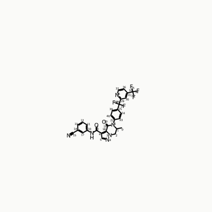 CC1Cn2ncc(C(=O)Nc3cccc(C#N)c3)c2C(=O)N1c1ccc(C(F)(F)c2cc(C(F)(F)F)ccn2)cc1